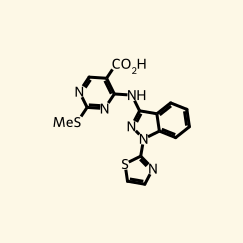 CSc1ncc(C(=O)O)c(Nc2nn(-c3nccs3)c3ccccc23)n1